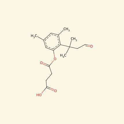 Cc1cc(C)c(C(C)(C)CC=O)c(OC(=O)CCC(=O)O)c1